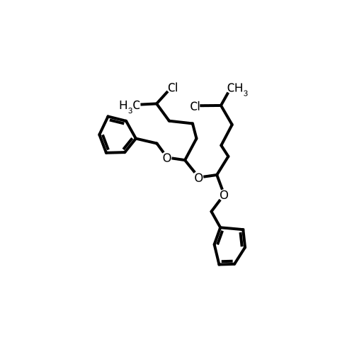 CC(Cl)CCCC(OCc1ccccc1)OC(CCCC(C)Cl)OCc1ccccc1